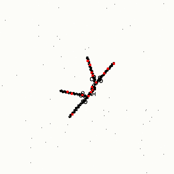 CCCCCCCCCCCCCCOC(=O)CCN(CCNCCN1CCN(CCN(CCC(=O)OCCCCCCCCCCCCCC)CCC(=O)OCCCCCCCCCCCCCC)CC1)CCC(=O)OCCCCCCCCCCCCCC